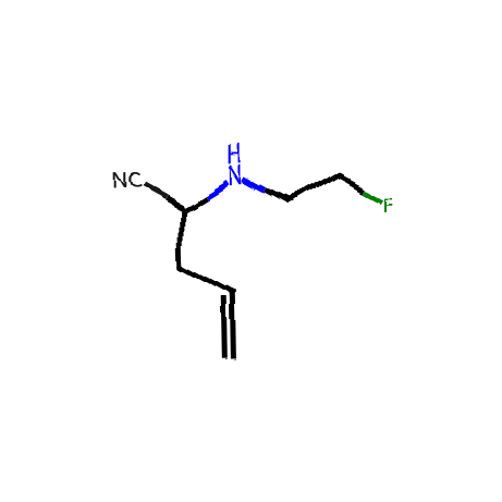 C=CCC(C#N)NCCF